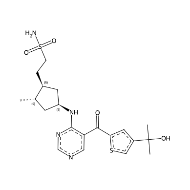 C[C@H]1C[C@H](Nc2ncncc2C(=O)c2cc(C(C)(C)O)cs2)C[C@@H]1CCS(N)(=O)=O